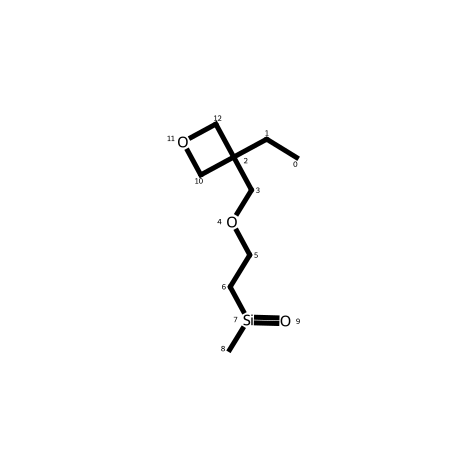 CCC1(COCC[Si](C)=O)COC1